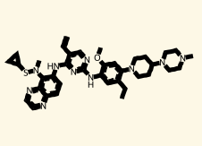 C=Cc1cnc(Nc2cc(CC)c(N3CCC(N4CCN(C)CC4)CC3)cc2OC)nc1Nc1ccc2nccnc2c1N(C)SC1CC1